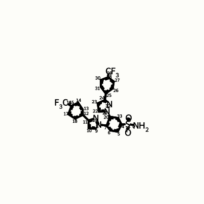 NS(=O)(=O)c1ccc(-n2ccc(-c3ccc(C(F)(F)F)cc3)n2)c(-n2ccc(-c3ccc(C(F)(F)F)cc3)n2)c1